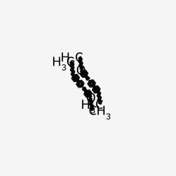 CCCCCCCc1ccc([C@H]2CC[C@H](C#Cc3ccc(OCCCCCC)cc3)CC2)cc1.CCCCCCOc1ccc(C#C[C@H]2CC[C@H](c3ccc(CCCCCC)cc3)CC2)cc1